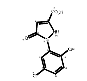 O=C(O)c1cc(=O)n(-c2cc(Cl)ccc2Cl)[nH]1